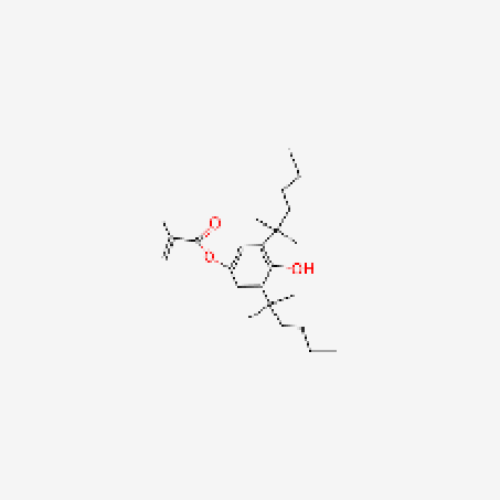 C=C(C)C(=O)Oc1cc(C(C)(C)CCCC)c(O)c(C(C)(C)CCCC)c1